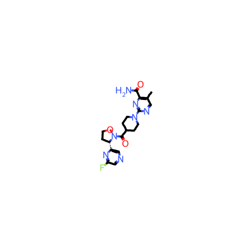 Cc1cnc(N2CCC(C(=O)N3OCC[C@H]3c3cncc(F)n3)CC2)nc1C(N)=O